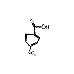 O=[N+]([O-])c1ccc(C(O)=S)cc1